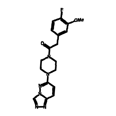 COc1cc(CC(=O)N2CCN(c3ccc4nncn4n3)CC2)ccc1F